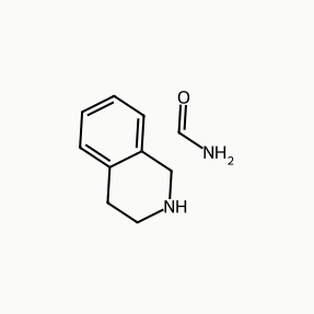 NC=O.c1ccc2c(c1)CCNC2